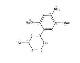 COc1cc(C2CN(C(C)=O)CCO2)c(OC)cc1N